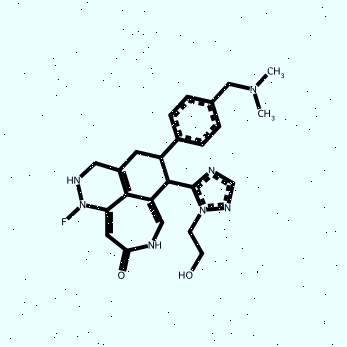 CN(C)Cc1ccc(C2CC3=C4C(=CNC(=O)C=C4N(F)NC3)C2c2ncnn2CCO)cc1